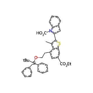 CCOC(=O)c1cc(CCO[Si](c2ccccc2)(c2ccccc2)C(C)(C)C)c2c(C)c(-c3cc4ccccc4n3C(=O)O)sc2c1